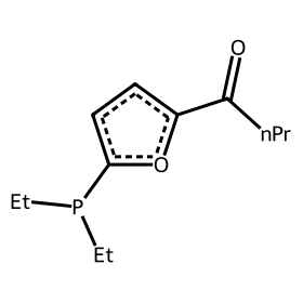 CCCC(=O)c1ccc(P(CC)CC)o1